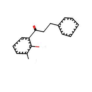 O=C(O)c1cccc(C(=O)CCc2ccccc2)c1O